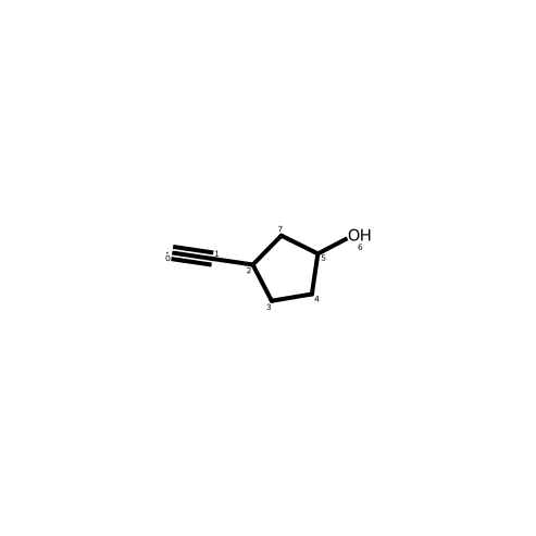 [C]#CC1CCC(O)C1